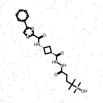 CC(C)(CCC(=O)NNC(=O)[C@H]1C[C@H](NC(=O)c2ncc(-c3ccccc3)s2)C1)[Si](C)(C)O